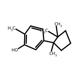 Cc1ccc(C2(C)CCCC2(C)C)cc1O